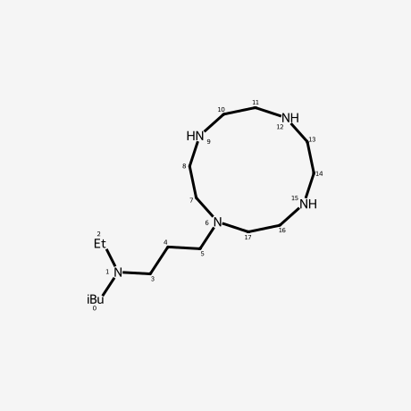 CCC(C)N(CC)CCCN1CCNCCNCCNCC1